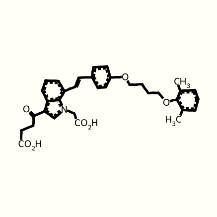 Cc1cccc(C)c1OCCCCOc1ccc(/C=C/c2cccc3c(C(=O)CCC(=O)O)cn(CC(=O)O)c23)cc1